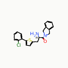 N[C@H](Cc1ccc(-c2ccccc2Cl)s1)C(=O)N1Cc2ccccc2C1